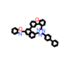 c1ccc(-c2ccc(-c3nc(-c4ccccc4)nc(-c4cccc5oc6ccc(-c7cccc(-c8nc9ccccc9o8)c7)cc6c45)n3)cc2)cc1